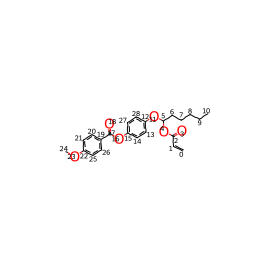 C=CC(=O)OC(CCCCC)Oc1ccc(OC(=O)c2ccc(OC)cc2)cc1